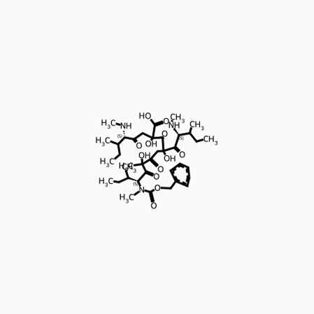 CCC(C)[C@H](NC)C(=O)CC(O)(C(=O)O)C(=O)C(O)(CC(=O)C(C)(O)C(=O)[C@H](C(C)CC)N(C)C(=O)OCc1ccccc1)C(=O)[C@@H](NC)C(C)CC